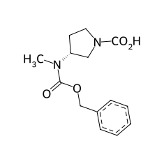 CN(C(=O)OCc1ccccc1)[C@@H]1CCN(C(=O)O)C1